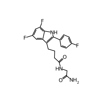 NC(=O)CNC(=O)CCCc1c(-c2ccc(F)cc2)[nH]c2c(F)cc(F)cc12